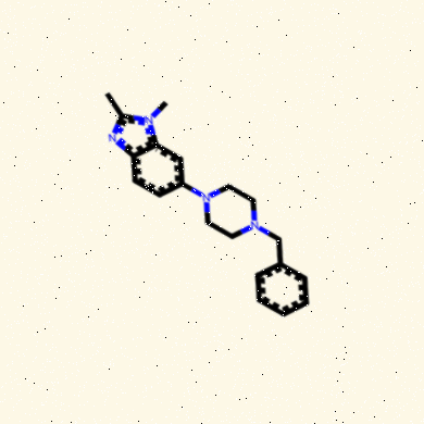 Cc1nc2ccc(N3CCN(Cc4ccccc4)CC3)cc2n1C